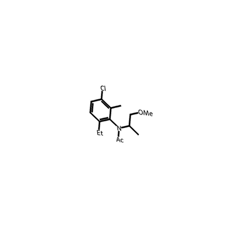 CCc1ccc(Cl)c(C)c1N(C(C)=O)C(C)COC